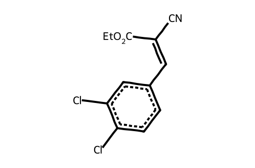 CCOC(=O)/C(C#N)=C\c1ccc(Cl)c(Cl)c1